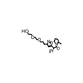 CC(C)C(C(=O)N1CCCC1C)c1cc(CCCOCCOCCO)no1